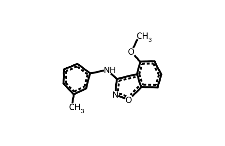 COc1cccc2onc(Nc3cccc(C)c3)c12